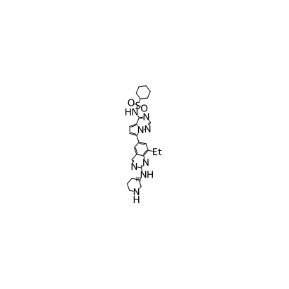 CCc1cc(-c2ccc3c(NS(=O)(=O)C4CCCCC4)ncnn23)cc2cnc(N[C@H]3CCCNC3)nc12